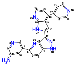 Nc1cncc(-c2ccc3[nH]nc(-c4cc5c(-c6ccncc6)ccnc5[nH]4)c3n2)c1